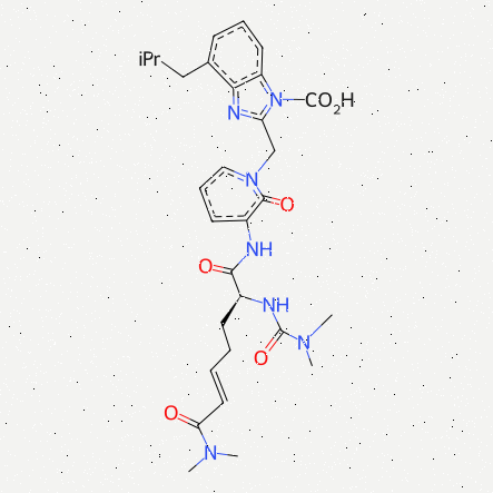 CC(C)Cc1cccc2c1nc(Cn1cccc(NC(=O)[C@H](CC/C=C/C(=O)N(C)C)NC(=O)N(C)C)c1=O)n2C(=O)O